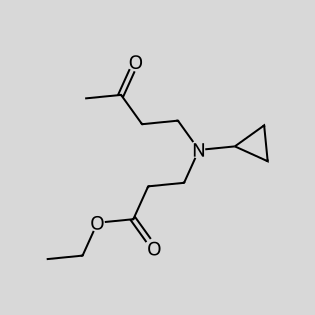 CCOC(=O)CCN(CCC(C)=O)C1CC1